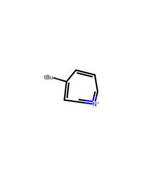 CC(C)(C)C1=CC=[N+]=CC=C1